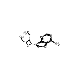 NC[C@@H]1[C@H](n2cnc3c(N)ncnc32)O[C@@H]1CO